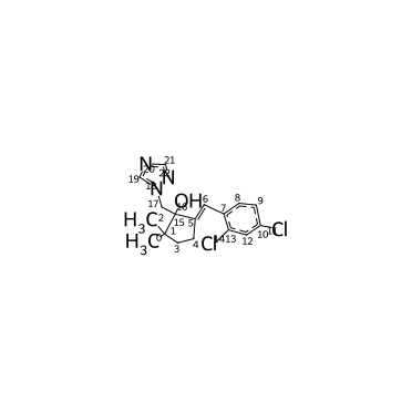 CC1(C)CCC(=Cc2ccc(Cl)cc2Cl)C1(O)Cn1cncn1